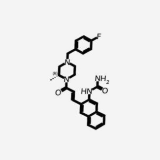 C[C@@H]1CN(Cc2ccc(F)cc2)CCN1C(=O)C=Cc1cc2ccccc2cc1NC(N)=O